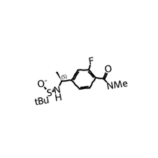 CNC(=O)c1ccc([C@H](C)N[S+]([O-])C(C)(C)C)cc1F